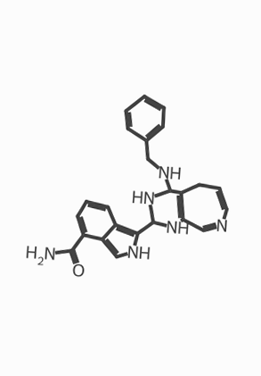 NC(=O)c1cccc2c(C3NC4=C(CC=CN=C4)C(NCc4ccccc4)N3)[nH]cc12